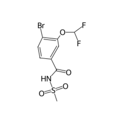 CS(=O)(=O)NC(=O)c1ccc(Br)c(OC(F)F)c1